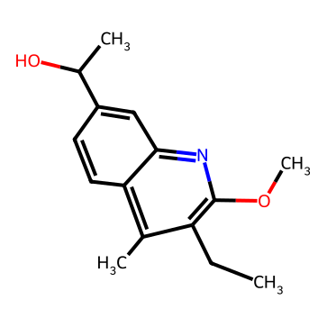 CCc1c(OC)nc2cc(C(C)O)ccc2c1C